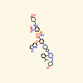 COC1CCC(CN2CCN(C3CC4(CCN(c5ccc(C(=O)NS(=O)(=O)c6ccc(NCC7CCC(C)(O)CC7)c([N+](=O)[O-])c6)c(Oc6cnc7[nH]ccc7c6)c5)CC4)C3)C(c3ccccc3C(C)C)C2)CC1